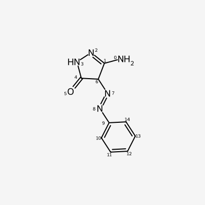 NC1=NNC(=O)C1N=Nc1ccccc1